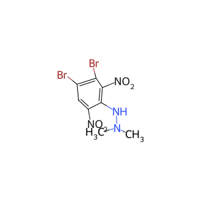 CN(C)Nc1c([N+](=O)[O-])cc(Br)c(Br)c1[N+](=O)[O-]